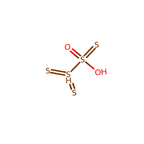 O=S(O)(=S)[SH](=S)=S